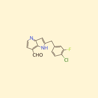 O=Cc1ccnc2cc(Cc3ccc(Cl)c(F)c3)[nH]c12